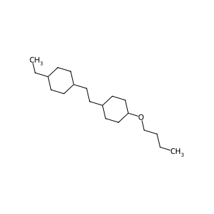 CCCCOC1CCC(CCC2CCC(CC)CC2)CC1